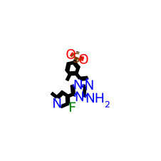 Cc1cc(-c2cn3c(-c4cc(S(C)(=O)=O)ccc4C)cnc3c(N)n2)c(F)cn1